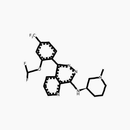 CN1CCC[C@@H](Nc2nnc(-c3ccc(C(F)(F)F)cc3OC(F)F)c3cccnc23)C1